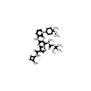 CO[C@]1(C)CC[C@@H](n2cccc(Nc3cc(N(C)C(=O)OC(C)(C)C)n4ncc(C(=O)NC5CCC5O)c4n3)c2=O)CC1